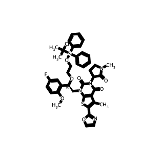 COc1ccc(F)cc1[C@H](Cn1c(=O)n(C2CCN(C)C2=O)c(=O)c2c(C)c(-c3ncco3)sc21)OCCO[Si](c1ccccc1)(c1ccccc1)C(C)(C)C